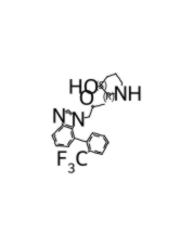 O=C(C[C@H]1NCCC[C@@H]1O)Cn1cnc2cccc(-c3ccccc3C(F)(F)F)c21